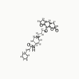 O=C(/C=C/c1ccccc1)NC1=CC=[N+](CCCOc2c3occc3cc3ccc(=O)oc23)CC1